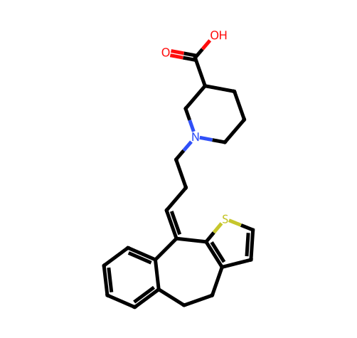 O=C(O)C1CCCN(CCC=C2c3ccccc3CCc3ccsc32)C1